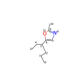 CCCC(CC)c1cnc(C)o1